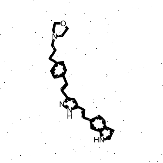 C(=Cc1cc(C=Cc2ccc3cc[nH]c3c2)[nH]n1)c1ccc(CCCN2CCOCC2)cc1